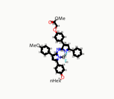 CCCCCCOc1ccc(-c2cc(-c3ccc(OC)cc3)c(/N=C3\N=C(c4ccccc4)C=C3c3ccc(OCC(=O)OC)cc3)n2B(F)F)cc1